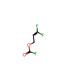 O=C(F)OCC=C(F)F